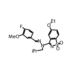 CCOc1ccc2c(c1)C(N(CC(C)C)/N=C/c1ccc(F)c(OC)c1)=NS2(=O)=O